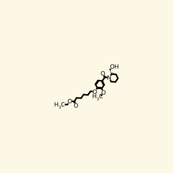 CCOC(=O)CCCCCOc1ccc(C(=O)N2CCCC[C@H]2CO)cc1OC